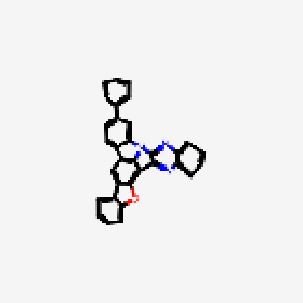 c1ccc(-c2ccc3c4cc5c6ccccc6oc5c5c6nc7ccccc7nc6n(c3c2)c45)cc1